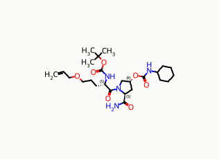 C=CCOCCC[C@H](NC(=O)OC(C)(C)C)C(=O)N1C[C@H](OC(=O)NC2CCCCC2)C[C@H]1C(N)=O